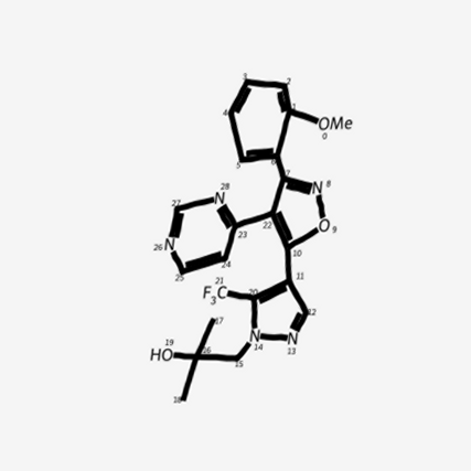 COc1ccccc1-c1noc(-c2cnn(CC(C)(C)O)c2C(F)(F)F)c1-c1ccncn1